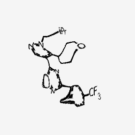 CC(C)Cn1ncc(-c2nc(-c3cccc(C(F)(F)F)c3)no2)c1C1CCOCC1